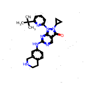 CC(C)(C#N)c1cccc(-n2c3nc(Nc4ccc5c(c4)CNCC5)ncc3c(=O)n2C2CC2)n1